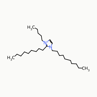 CCCCCCCCCCn1cc[n+](CCCCC)c1CCCCCCCCC